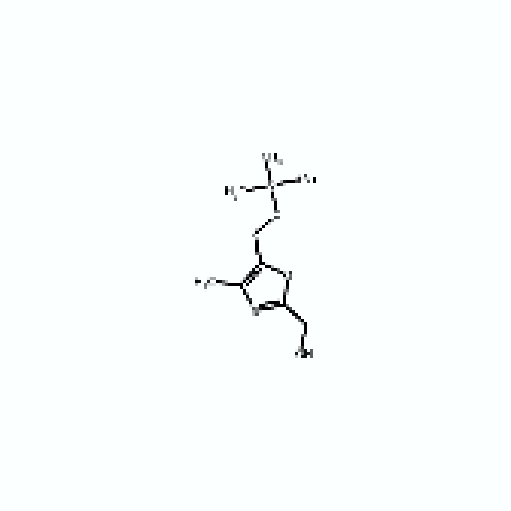 Cc1nc(CO)oc1CO[Si](C)(C)C(C)(C)C